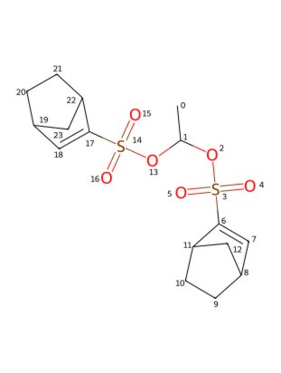 CC(OS(=O)(=O)C1=CC2CCC1C2)OS(=O)(=O)C1=CC2CCC1C2